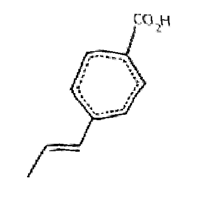 CC=Cc1ccc(C(=O)O)cc1